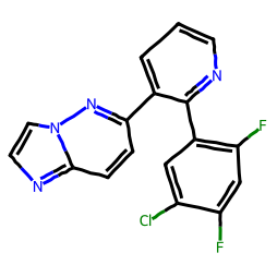 Fc1cc(F)c(-c2ncccc2-c2ccc3nccn3n2)cc1Cl